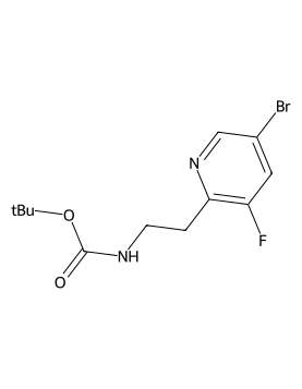 CC(C)(C)OC(=O)NCCc1ncc(Br)cc1F